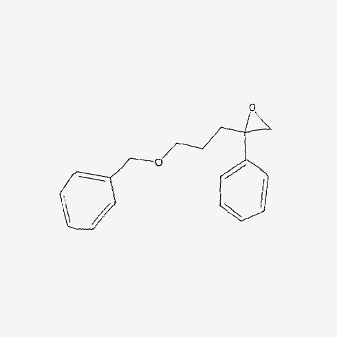 c1ccc(COCCCC2(c3ccccc3)CO2)cc1